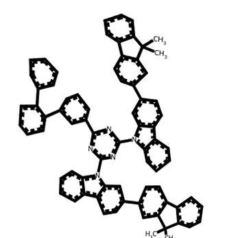 CC1(C)c2ccccc2-c2ccc(-c3ccc4c5ccccc5n(-c5nc(-c6cccc(-c7ccccc7-c7ccccc7)c6)nc(-n6c7ccccc7c7ccc(-c8ccc9c(c8)C(C)(C)c8ccccc8-9)cc76)n5)c4c3)cc21